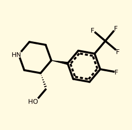 OC[C@@H]1CNCC[C@H]1c1ccc(F)c(C(F)(F)F)c1